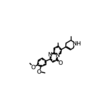 COc1ccc(-c2cc(=O)n3cc(C4=CCNC(C)C4)c(C)cc3n2)cc1OC